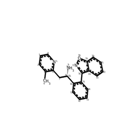 Cc1cccnc1C[C@H](N)c1ccccc1-c1noc2ccccc12